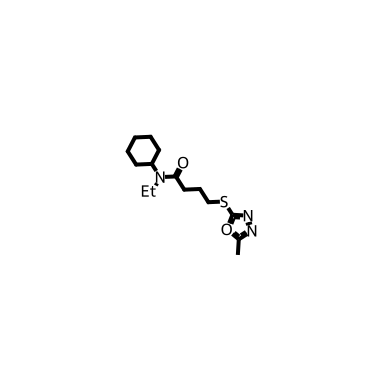 CCN(C(=O)CCCSc1nnc(C)o1)C1CCCCC1